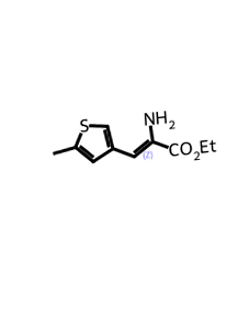 CCOC(=O)/C(N)=C/c1csc(C)c1